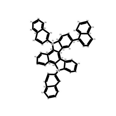 c1ccc2cc(-n3c4ccccc4c4c5c6cc(-c7cccc8ccccc78)ccc6n(-c6ccc7ccccc7c6)c5c5ccccc5c43)ccc2c1